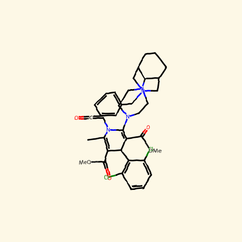 COC(=O)C1=C(C)N(C=C=O)C(N2CCN(C3C4CCCC3CN(Cc3ccccc3)C4)CC2)=C(C(=O)OC)C1c1c(Cl)cccc1Cl